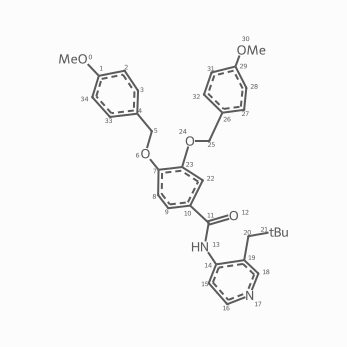 COc1ccc(COc2ccc(C(=O)Nc3ccncc3CC(C)(C)C)cc2OCc2ccc(OC)cc2)cc1